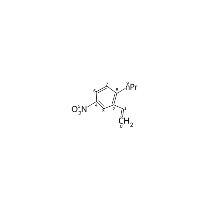 C=Cc1cc([N+](=O)[O-])ccc1CCC